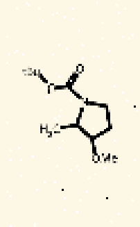 COC1CCN(C(=O)OC(C)(C)C)C1C